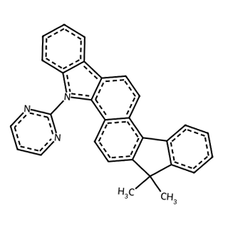 CC1(C)c2ccccc2-c2c1ccc1c2ccc2c3ccccc3n(-c3ncccn3)c12